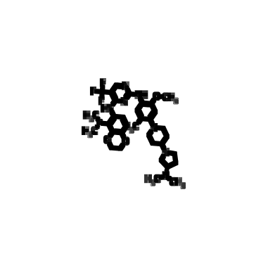 COc1cc(N2CCC(N3CC[C@@H](N(C)C)C3)CC2)c(C)cc1Nc1ncc(C(F)(F)F)c(Nc2ccc3c(c2P(C)C)OCCO3)n1